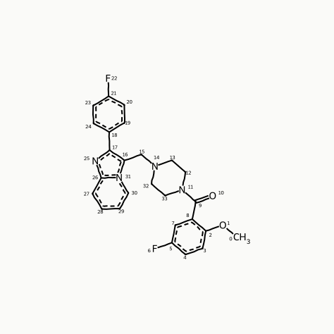 COc1ccc(F)cc1C(=O)N1CCN(Cc2c(-c3ccc(F)cc3)nc3ccccn23)CC1